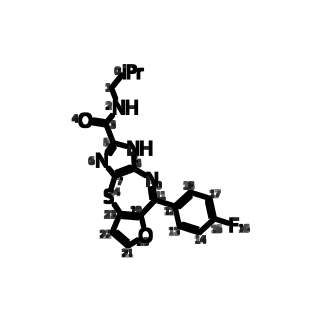 CC(C)CNC(=O)c1nc2c([nH]1)N=C(c1ccc(F)cc1)c1occc1S2